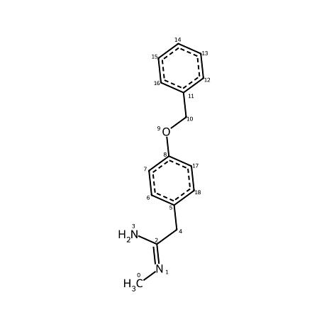 C/N=C(\N)Cc1ccc(OCc2ccccc2)cc1